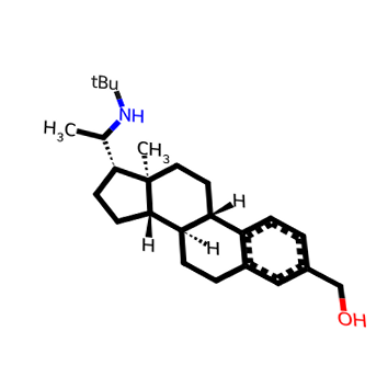 CC(NC(C)(C)C)[C@H]1CC[C@H]2[C@@H]3CCc4cc(CO)ccc4[C@H]3CC[C@]12C